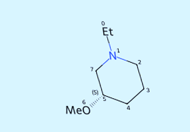 [CH2]CN1CCC[C@H](OC)C1